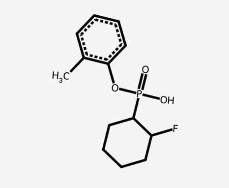 Cc1ccccc1OP(=O)(O)C1CCCCC1F